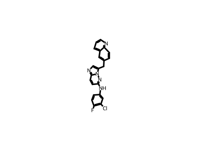 Fc1ccc(Nc2ccc3ncc(Cc4ccc5ncccc5c4)n3n2)cc1Cl